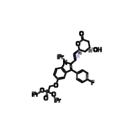 CC(C)OP(=O)(COc1ccc2c(c1)c(-c1ccc(F)cc1)c(/C=C/[C@@H]1C[C@@H](O)CC(=O)O1)n2C(C)C)OC(C)C